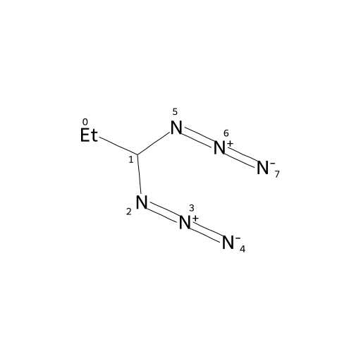 [CH2]CC(N=[N+]=[N-])N=[N+]=[N-]